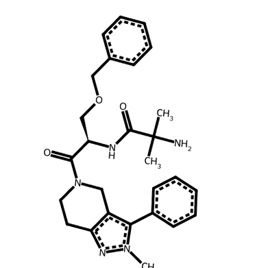 Cn1nc2c(c1-c1ccccc1)CN(C(=O)[C@@H](COCc1ccccc1)NC(=O)C(C)(C)N)CC2